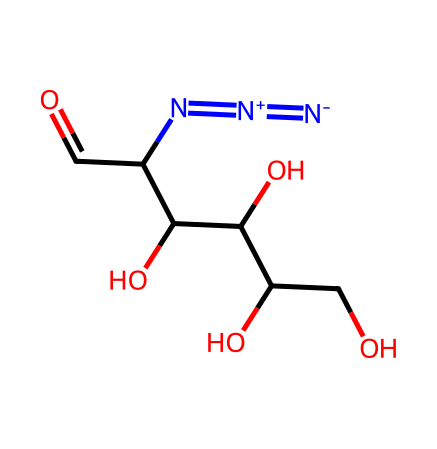 [N-]=[N+]=NC(C=O)C(O)C(O)C(O)CO